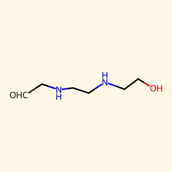 O=CCNCCNCCO